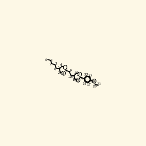 CCCCCC1COC(CCC2COC(c3ccc(OCC)cc3)OC2)OC1